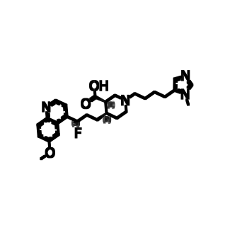 COc1ccc2nccc([C@@H](F)CC[C@@H]3CCN(CCCCc4cncn4C)C[C@@H]3C(=O)O)c2c1